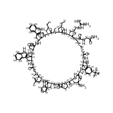 CCCC[C@H]1C(=O)N(C)[C@@H](CCCC)C(=O)N[C@@H](CCCNC(=N)N)C(=O)N[C@H](C(=O)NCC(N)=O)CSCC(=O)N[C@H]2Cc3cc(C(F)(F)F)ccc3N(C2=O)[C@@H](C)C(=O)N[C@@H](CC(N)=O)C(=O)N2CCC[C@H]2C(=O)N[C@@H](Cc2cnc[nH]2)C(=O)N[C@@H](CC(C)C)C(=O)N(C)CC(=O)N[C@@H](Cc2c[nH]c3ccccc23)C(=O)N[C@@H](CO)C(=O)N[C@@H](Cc2c[nH]c3ccccc23)C(=O)N1C